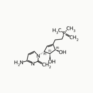 C=C1N=C(N)C=CN1[C@@H]1C=C(CCP(=C)(C)C)[C@@H](O)[C@H]1O